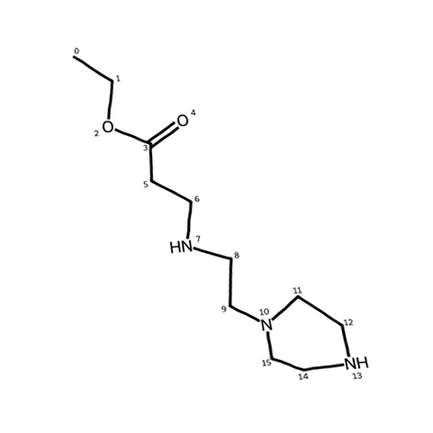 CCOC(=O)CCNCCN1CCNCC1